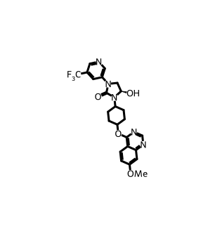 COc1ccc2c(OC3CCC(N4C(=O)N(c5cncc(C(F)(F)F)c5)C[C@H]4O)CC3)ncnc2c1